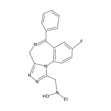 CCN(O)Cc1nnc2n1-c1ccc(F)cc1C(c1ccccc1)=NC2